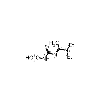 CCN(CC)C(C)=NC(=S)NC(=O)O